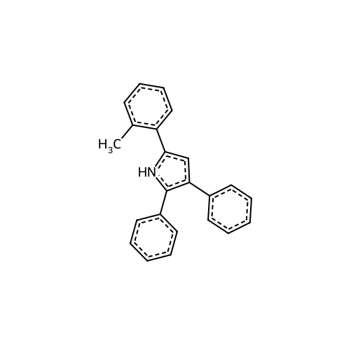 Cc1ccccc1-c1cc(-c2ccccc2)c(-c2ccccc2)[nH]1